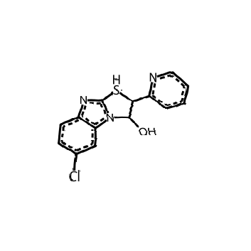 OC1C(c2ccccn2)[SH]c2nc3ccc(Cl)cc3n21